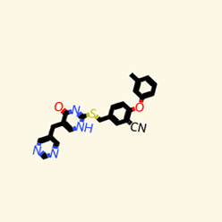 Cc1cccc(Oc2ccc(CSc3nc(=O)c(Cc4cncnc4)c[nH]3)cc2C#N)c1